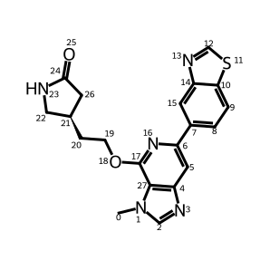 Cn1cnc2cc(-c3ccc4scnc4c3)nc(OCC[C@H]3CNC(=O)C3)c21